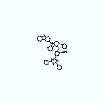 N#Cc1cc(-c2nc(-c3ccccc3)nc(-c3ccccc3)n2)ccc1C1c2ccccc2-c2ccc3c(c21)c1ccccc1n3-c1ccc2sc3ccccc3c2c1